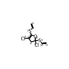 C=CSC1=C(Cl)CC(Cl)(SC=C)O1